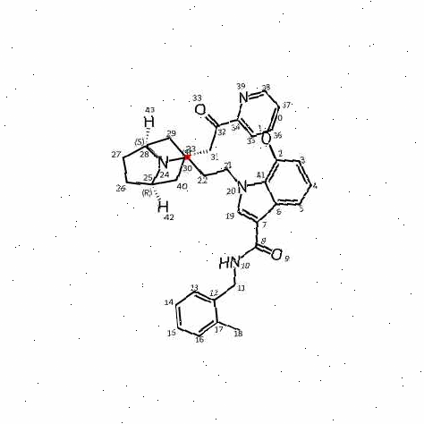 COc1cccc2c(C(=O)NCc3ccccc3C)cn(CCCN3[C@@H]4CC[C@H]3C[C@H](CC(=O)c3ccccn3)C4)c12